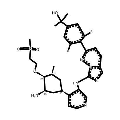 C[C@H]1C[C@@H](c2ccncc2Nc2ncc3ccc(-c4c(F)cc(C(C)(C)O)cc4F)nn23)C[C@@H](N)[C@H]1OCCS(C)(=O)=O